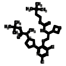 CN(C(=O)OC(C)(C)C)[C@@H]1CCN(c2nc(Cl)nc(Cl)c2OCC(NC(=O)OCC[Si](C)(C)C)C2COC2)C1